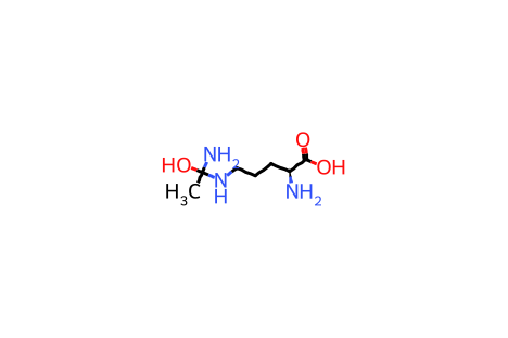 CC(N)(O)NCCC[C@H](N)C(=O)O